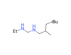 CCNCNCC(C)CC(C)CC